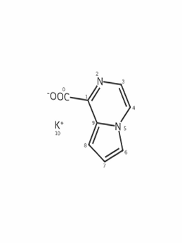 O=C([O-])c1nccn2cccc12.[K+]